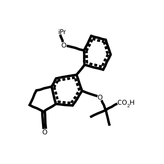 CC(C)Oc1ccccc1-c1cc2c(cc1OC(C)(C)C(=O)O)C(=O)CC2